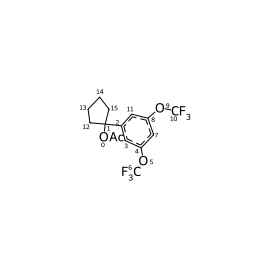 CC(=O)OC1(c2cc(OC(F)(F)F)cc(OC(F)(F)F)c2)CCCC1